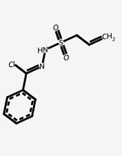 C=CCS(=O)(=O)NN=C(Cl)c1ccccc1